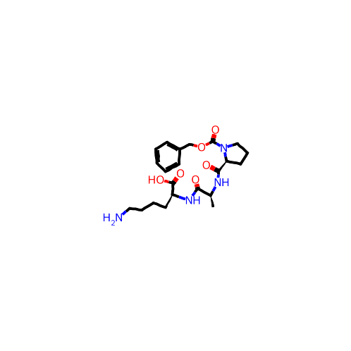 C[C@H](NC(=O)[C@@H]1CCCN1C(=O)OCc1ccccc1)C(=O)N[C@@H](CCCCN)C(=O)O